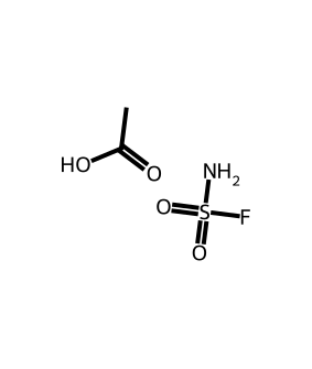 CC(=O)O.NS(=O)(=O)F